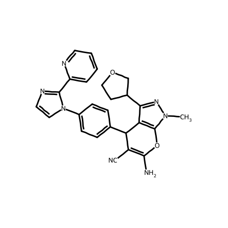 Cn1nc(C2CCOC2)c2c1OC(N)=C(C#N)C2c1ccc(-n2ccnc2-c2ccccn2)cc1